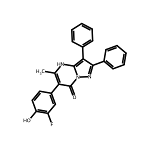 Cc1[nH]c2c(-c3ccccc3)c(-c3ccccc3)nn2c(=O)c1-c1ccc(O)c(F)c1